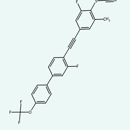 Cc1cc(C#Cc2ccc(-c3ccc(OC(F)(F)F)cc3)cc2F)cc(F)c1SC#N